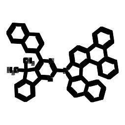 CC1(C)c2ccccc2-c2nc(-n3c4ccc5ccccc5c4c4c5c6ccccc6c6ccccc6c5ccc43)nc(-c3ccc4ccccc4c3)c21